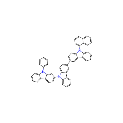 c1ccc(-n2c3ccccc3c3ccc(-n4c5ccccc5c5cc(-c6ccc7c(c6)c6ccccc6n7-c6cccc7ccccc67)ccc54)cc32)cc1